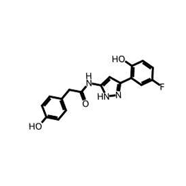 O=C(Cc1ccc(O)cc1)Nc1cc(-c2cc(F)ccc2O)n[nH]1